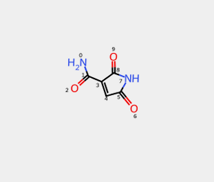 NC(=O)C1=CC(=O)NC1=O